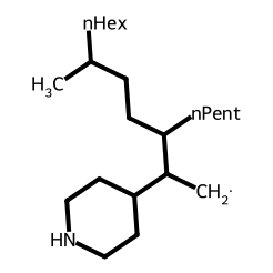 [CH2]C(C1CCNCC1)C(CCCCC)CCC(C)CCCCCC